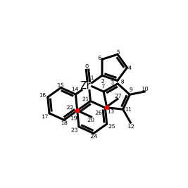 [CH2]=[Zr]([C]1=CC=CC1)([C]1=CC(C)=C(C)C1)([c]1ccccc1C)[c]1ccccc1C